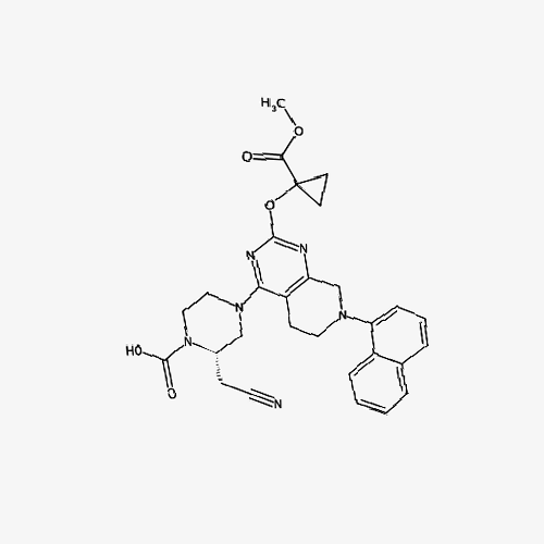 COC(=O)C1(Oc2nc3c(c(N4CCN(C(=O)O)[C@@H](CC#N)C4)n2)CCN(c2cccc4ccccc24)C3)CC1